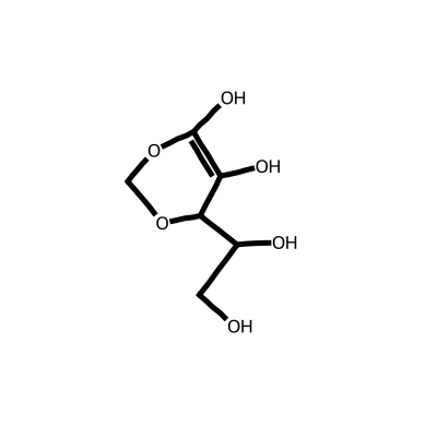 OCC(O)C1OCOC(O)=C1O